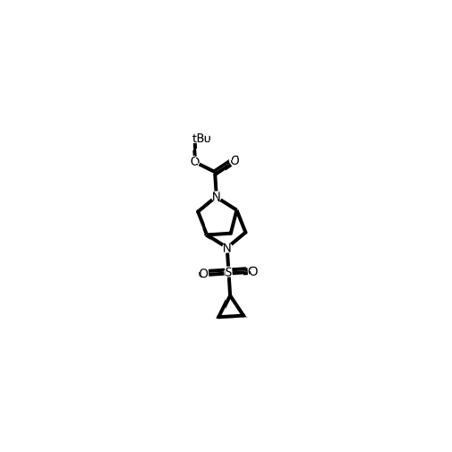 CC(C)(C)OC(=O)N1CC2CC1CN2S(=O)(=O)C1CC1